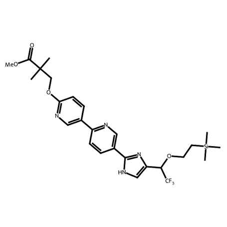 COC(=O)C(C)(C)COc1ccc(-c2ccc(-c3nc(C(OCC[Si](C)(C)C)C(F)(F)F)c[nH]3)cn2)cn1